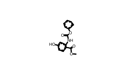 COC(=O)c1ccc(O)cc1NC(=O)Oc1ccccc1